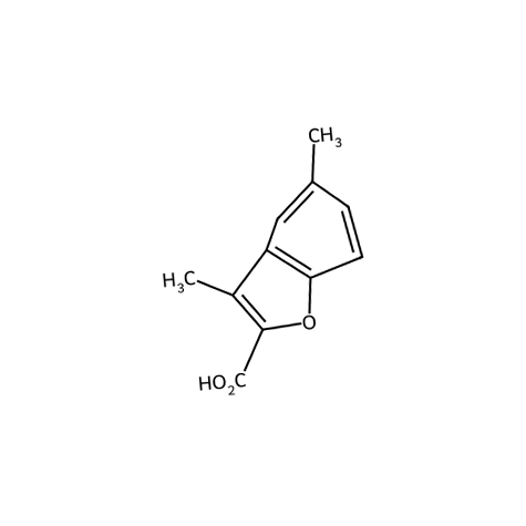 Cc1ccc2oc(C(=O)O)c(C)c2c1